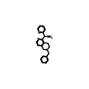 NC(c1ccccn1)c1nccc2c1CCN(Cc1ccccc1)C2